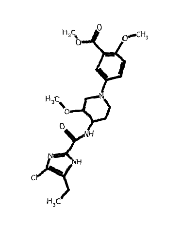 CCc1[nH]c(C(=O)NC2CCN(c3ccc(OC)c(C(=O)OC)c3)CC2OC)nc1Cl